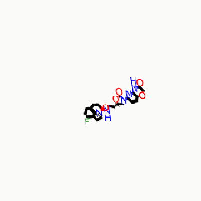 O=C1COc2ccc(N3C[C@H](CCNC[N@+]45CCc6c(F)ccc(c64)C=CC5=O)OC3=O)nc2N1